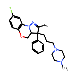 CC(=O)C1=NN2c3cc(F)ccc3OCC2C1(CCCN1CCN(C)CC1)c1ccccc1